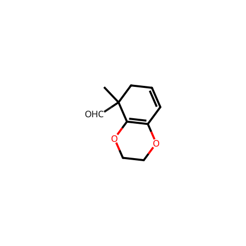 CC1(C=O)CC=CC2=C1OCCO2